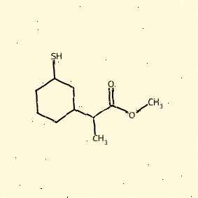 COC(=O)C(C)C1CCCC(S)C1